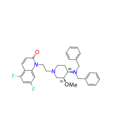 CO[C@H]1CN(CCn2c(=O)ccc3c(F)cc(F)cc32)CC[C@H]1N(Cc1ccccc1)Cc1ccccc1